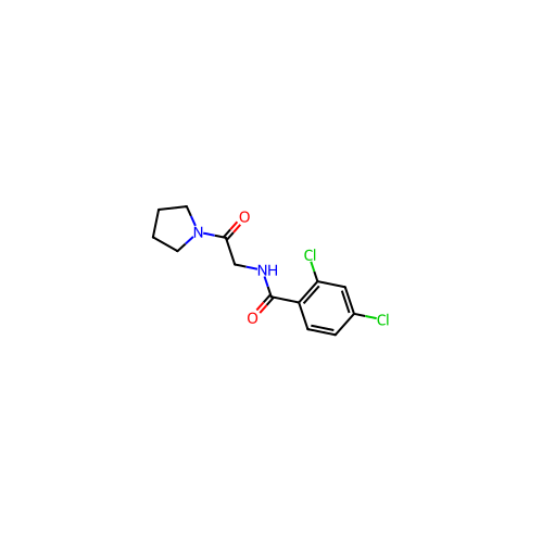 O=C(NCC(=O)N1CCCC1)c1ccc(Cl)cc1Cl